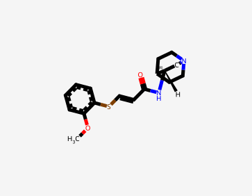 COc1ccccc1SC=CC(=O)N[C@H]1CN2CCC1CC2